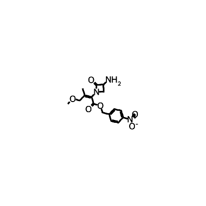 COCC(C)=C(C(=O)OCc1ccc([N+](=O)[O-])cc1)N1CC(N)C1=O